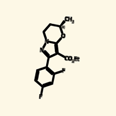 CCOC(=O)c1c(-c2ccc(F)cc2F)nn2c1O[C@H](C)CC2